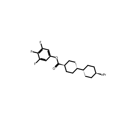 CCC[C@H]1CC[C@H]([C@H]2CC[C@H](C(=O)Oc3cc(F)c(F)c(F)c3)CC2)CC1